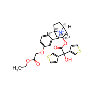 CCOC(=O)COc1cccc(C[N@+]2(C)[C@@H]3CC[C@H]2C[C@@H](OC(=O)C(O)(c2ccsc2)c2ccsc2)C3)c1